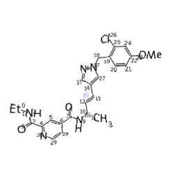 CCNC(=O)c1cc(C(=O)N[C@@H](C)/C=C/c2cnn(Cc3ccc(OC)cc3Cl)c2)ccn1